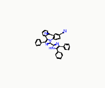 N#Cc1ccc(-n2c(-c3nc(-c4ccccc4)c(-c4ccccc4)[nH]3)nc(-c3ccccc3)c2-c2ccccc2)c(C#N)c1